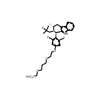 CCOC(=O)COCCCOCCOc1cc(F)c([C@@H]2c3[nH]c4ccccc4c3C[C@@H](C)N2CC(C)(C)F)c(F)c1